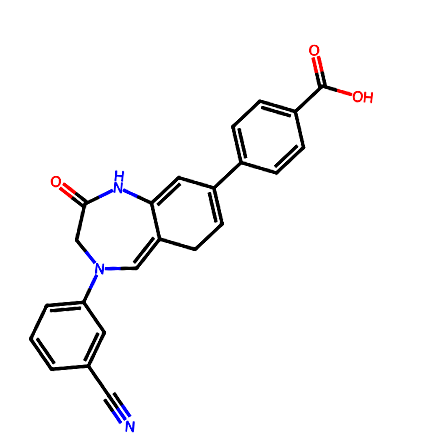 N#Cc1cccc(N2C=C3CC=C(c4ccc(C(=O)O)cc4)C=C3NC(=O)C2)c1